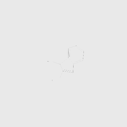 CCCCC[C]1C(CCCCC)=Cc2ccccc21